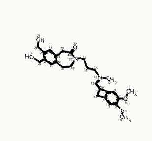 COc1cc2c(cc1OC)C(CN(C)CCCN1CCc3cc(CO)c(CO)cc3CC1=O)C2